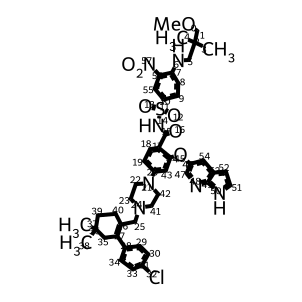 COCC(C)(C)CNc1ccc(S(=O)(=O)NC(=O)c2ccc(N3CCN(CC4=C(c5ccc(Cl)cc5)CC(C)(C)CC4)CC3)cc2Oc2cnc3[nH]ccc3c2)cc1[N+](=O)[O-]